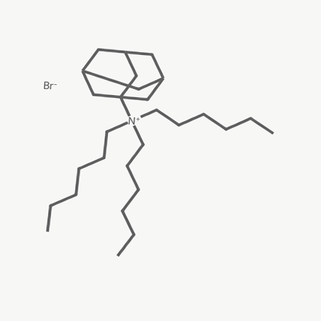 CCCCCC[N+](CCCCCC)(CCCCCC)C12CC3CC(CC(C3)C1)C2.[Br-]